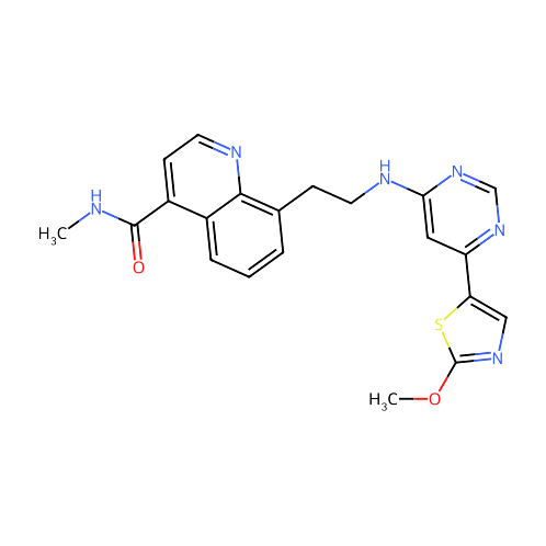 CNC(=O)c1ccnc2c(CCNc3cc(-c4cnc(OC)s4)ncn3)cccc12